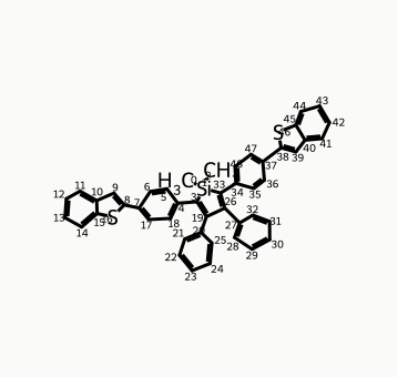 C[Si]1(C)C(c2ccc(-c3cc4ccccc4s3)cc2)=C(c2ccccc2)C(c2ccccc2)=C1c1ccc(-c2cc3ccccc3s2)cc1